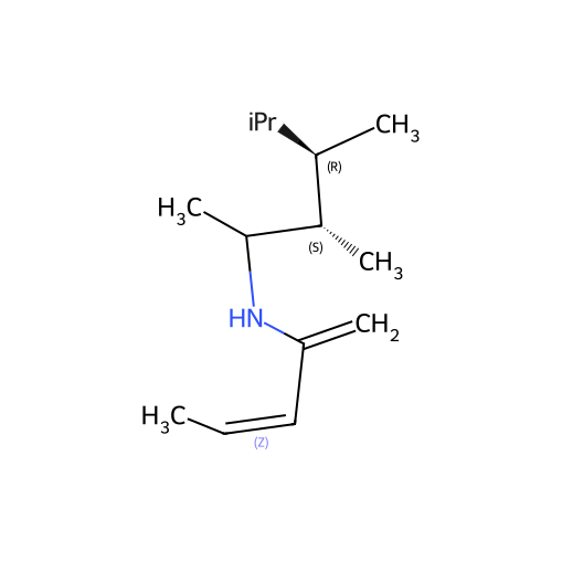 C=C(/C=C\C)NC(C)[C@@H](C)[C@H](C)C(C)C